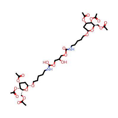 CC(=O)OC[C@H]1O[C@@H](OCCCCCNC(=O)OCC(O)COC(O)NCCCCCO[C@H]2C[C@@H](OC(C)=O)[C@@H](OC(C)=O)[C@@H](COC(C)=O)O2)C[C@@H](OC(C)=O)[C@H]1OC(C)=O